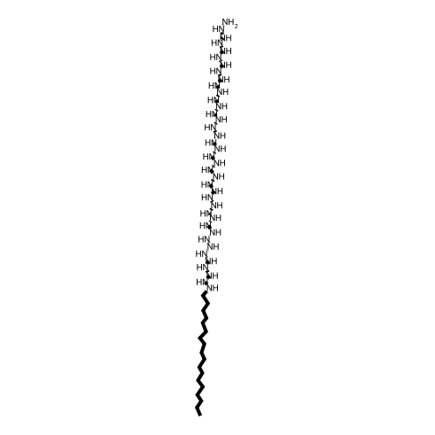 CCCCCCCCCCCCCCCCCCNNNNNNNNNNNNNNNNNNNNNNNNNNNNNNNNNNNNNNN